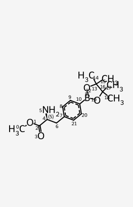 COC(=O)[C@@H](N)Cc1ccc(B2OC(C)(C)C(C)(C)O2)cc1